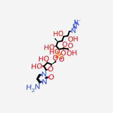 C[C@H]1C([C@H](O)[C@H](O)CN=[N+]=[N-])O[C@](OP(=O)(O)OC[C@H]2O[C@@H](n3ccc(N)nc3=O)C(O)[C@H]2O)(C(=O)O)C[C@H]1O